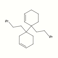 CC(C)CCC1(C2(CCC(C)C)CC=CCC2)C=CCCC1